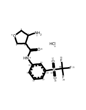 Cl.NC1COCC1C(=O)Nc1cccc(S(=O)(=O)C(F)(F)F)c1